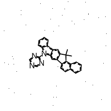 CC1(C)c2cc3c4ccccc4n(-c4ncncn4)c3cc2-c2ccc3ccccc3c21